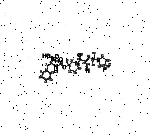 CC1(OC(=O)N[C@@H](Cc2ccccc2)B(O)O)CCCN(C(=O)C(C#N)=CC(C)(C)N2CCC(F)(F)C2)C1